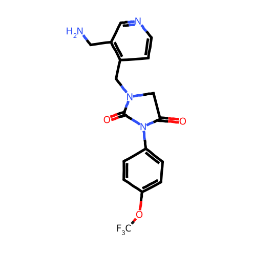 NCc1cnccc1CN1CC(=O)N(c2ccc(OC(F)(F)F)cc2)C1=O